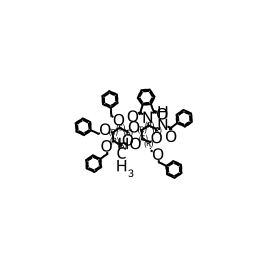 C[C@@H]1O[C@@H](O[C@H]2[C@H](O)[C@@H](COCc3ccccc3)O[C@@H](NC(=O)c3ccccc3)[C@@H]2N2C(=O)c3ccccc3C2=O)[C@@H](OCc2ccccc2)[C@H](OCc2ccccc2)[C@@H]1OCc1ccccc1